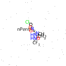 CCCCCS(=O)(=O)N(Cc1ccc(Cl)cc1)C12CC(C3=NC(C)(C)[C@H](C(=O)NCCC(F)(F)F)N3)(C1)C2